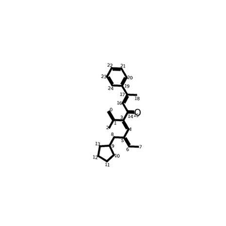 C=C(C)/C(=C\C(=C/C)CC1CCCC1)C(=O)/C=C(\C)c1ccccc1